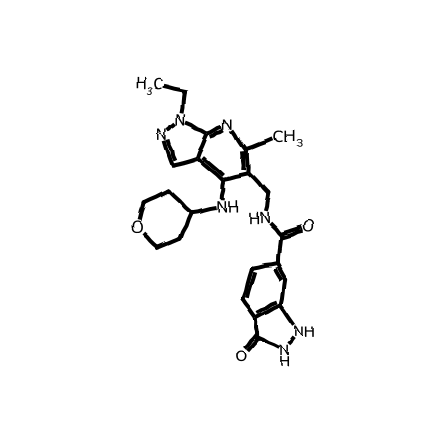 CCn1ncc2c(NC3CCOCC3)c(CNC(=O)c3ccc4c(=O)[nH][nH]c4c3)c(C)nc21